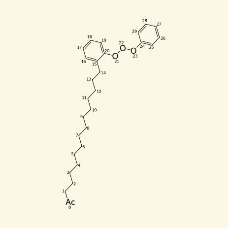 CC(=O)CCCCCCCCCCCCCCc1ccccc1OOOc1ccccc1